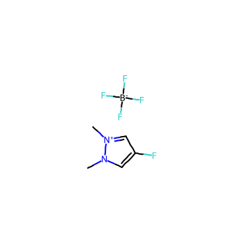 Cn1cc(F)c[n+]1C.F[B-](F)(F)F